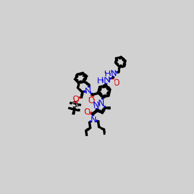 CCCCN(CCCC)C(=O)c1cc(C)n(-c2ccc(NC(=O)NCc3ccccc3)cc2C(=O)N2Cc3ccccc3CC2CO[Si](C)(C)C(C)(C)C)n1